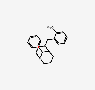 COc1ccccc1CN1CCN2CCCC1C2c1ccccc1